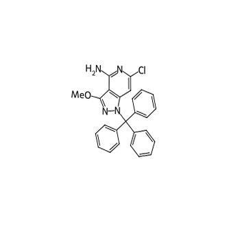 COc1nn(C(c2ccccc2)(c2ccccc2)c2ccccc2)c2cc(Cl)nc(N)c12